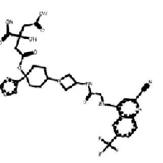 N#Cc1cc(NCC(=O)NC2CN(C3CCC(OC(=O)CC(O)(CC(=O)O)C(=O)O)(c4cncs4)CC3)C2)c2cc(C(F)(F)F)ccc2n1